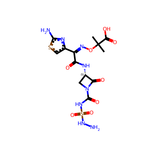 CC(C)(ON=C(C(=O)N[C@H]1CN(C(=O)NS(=O)(=O)NN)C1=O)c1csc(N)n1)C(=O)O